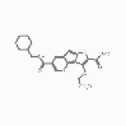 CCOC(=O)COc1c(C(=O)OC)sc2cc3cc(C(=O)NCC4CCCCC4)csc-3c12